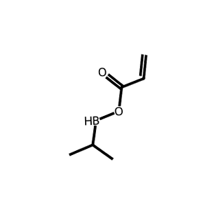 C=CC(=O)OBC(C)C